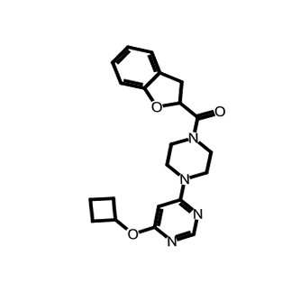 O=C(C1Cc2ccccc2O1)N1CCN(c2cc(OC3CCC3)ncn2)CC1